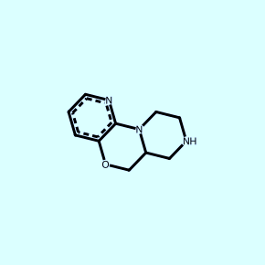 c1cnc2c(c1)OCC1CNCCN21